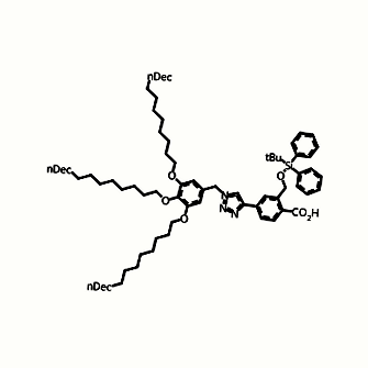 CCCCCCCCCCCCCCCCCCOc1cc(Cn2cc(-c3ccc(C(=O)O)c(CO[Si](c4ccccc4)(c4ccccc4)C(C)(C)C)c3)nn2)cc(OCCCCCCCCCCCCCCCCCC)c1OCCCCCCCCCCCCCCCCCC